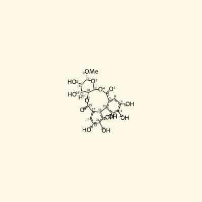 CO[C@@H]1OC2OC(=O)c3cc(O)c(O)c(O)c3-c3c(cc(O)c(O)c3O)C(=O)O[C@H]2[C@H](O)C1O